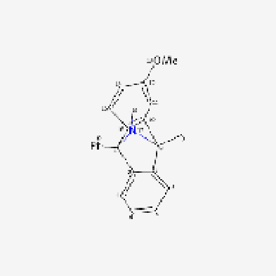 CCC12c3ccccc3C(C)(c3cc(OC)ccc31)N2C